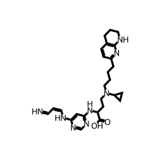 N=C/C=C\Nc1cc(NC(CCN(CCCCc2ccc3c(n2)NCCC3)C2CC2)C(=O)O)ncn1